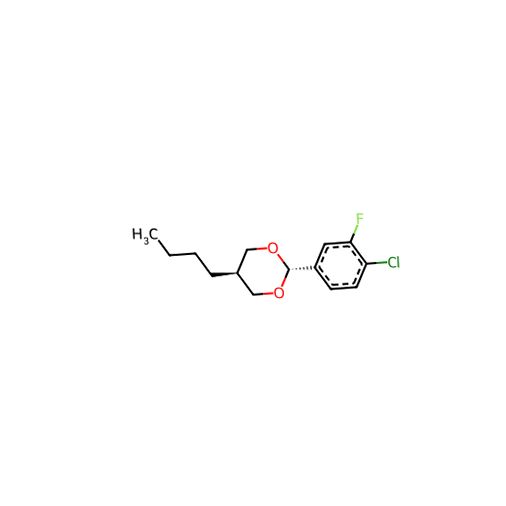 CCCC[C@H]1CO[C@H](c2ccc(Cl)c(F)c2)OC1